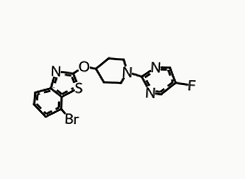 Fc1cnc(N2CCC(Oc3nc4cccc(Br)c4s3)CC2)nc1